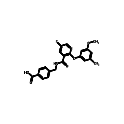 COc1cc(C)cc(Oc2ncc(F)cc2C(=O)NCc2ccc(C(=O)O)cc2)c1